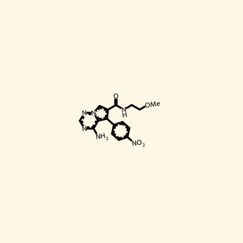 COCCNC(=O)c1cn2ncnc(N)c2c1-c1ccc([N+](=O)[O-])cc1